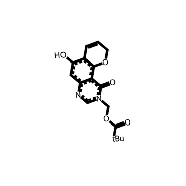 CC(C)(C)C(=O)OCn1cnc2cc(O)c3c(c2c1=O)OCC=C3